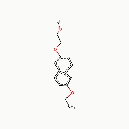 CCOc1ccc2cc(OCCOC)ccc2c1